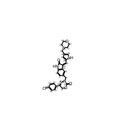 O=C1Nc2ccc(CN3N=C(c4ccc(Cl)cc4)COC3=O)cc2/C1=C/c1cc(CN2CCOCC2)c[nH]1